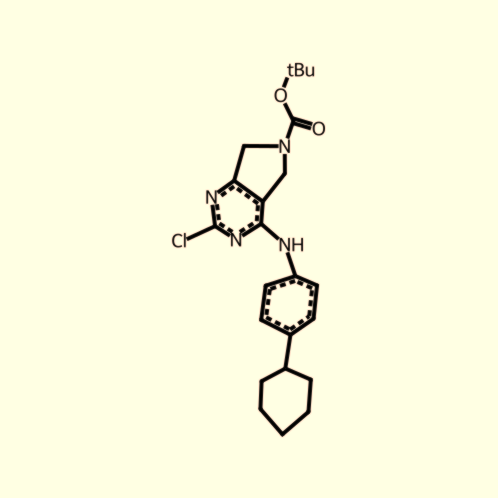 CC(C)(C)OC(=O)N1Cc2nc(Cl)nc(Nc3ccc(C4CCCCC4)cc3)c2C1